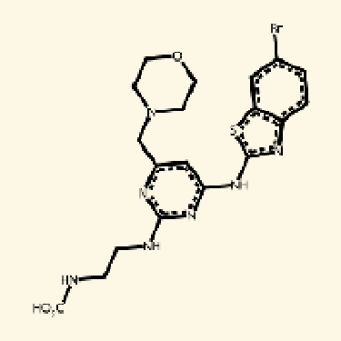 O=C(O)NCCNc1nc(CN2CCOCC2)cc(Nc2nc3ccc(Br)cc3s2)n1